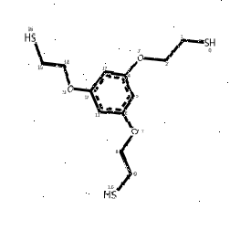 SCCOc1cc(OCCS)cc(OCCS)c1